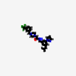 CC(C)Cc1cc(CNC(=O)CN2CCN(Cc3cccc(C(F)(F)F)c3)CC2)cc(-n2cccn2)c1